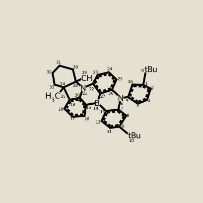 CC(C)(C)c1cccc(N2c3cc(C(C)(C)C)ccc3B3c4cccc5c4N(c4cccc2c43)C2(C)CCCCC52C)c1